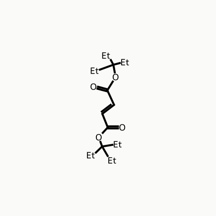 CCC(CC)(CC)OC(=O)/C=C/C(=O)OC(CC)(CC)CC